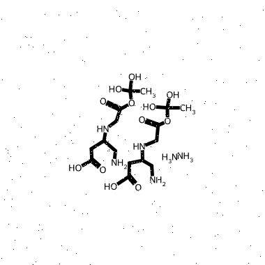 CC(O)(O)OC(=O)CNC(CN)CC(=O)O.CC(O)(O)OC(=O)CNC(CN)CC(=O)O.N.N